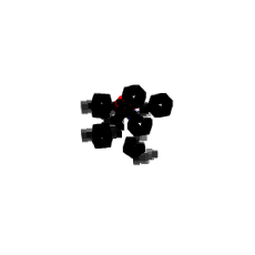 C[C@H](C1=CC=C/C1=C1/C=CC=C[C-]1P(c1ccccc1)c1ccccc1)P(C1C[C@@H]2CC[C@H]1C2)C1C[C@@H]2CC[C@H]1C2.[Fe+2].c1cc[cH-]c1